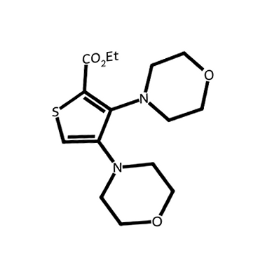 CCOC(=O)c1scc(N2CCOCC2)c1N1CCOCC1